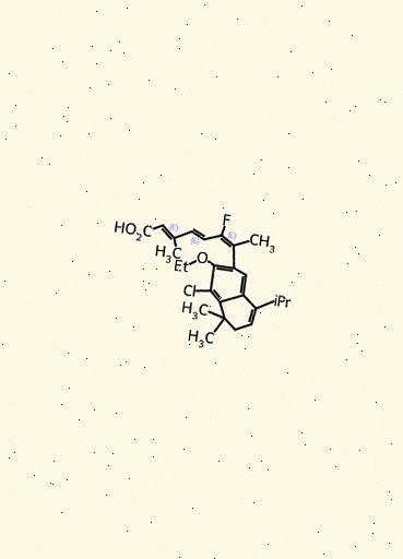 CCOc1c(\C(C)=C(F)/C=C/C(C)=C/C(=O)O)cc2c(c1Cl)C(C)(C)CC=C2C(C)C